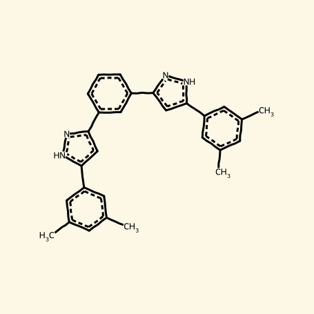 Cc1cc(C)cc(-c2cc(-c3cccc(-c4cc(-c5cc(C)cc(C)c5)[nH]n4)c3)n[nH]2)c1